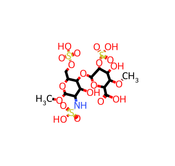 COC1OC(COS(=O)(=O)O)C(OC2OC(C(=O)O)C(OC)C(O)C2OS(=O)(=O)O)C(O)C1NS(=O)(=O)O